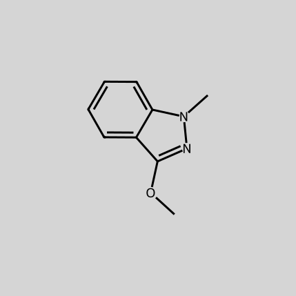 COc1nn(C)c2ccccc12